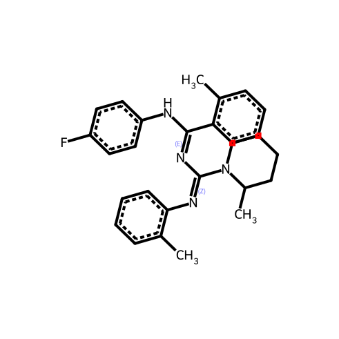 Cc1ccccc1/N=C(\N=C(\Nc1ccc(F)cc1)c1ccccc1C)N1CCCCC1C